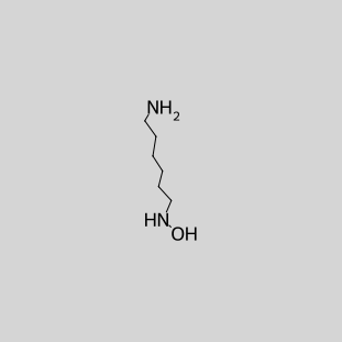 NCCCCCCNO